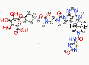 COc1nsc(NC(=O)N2C[C@H]3C[C@H](N(C)c4ncnc5c4ccn5C(=O)N(C)CCN(C)C(=O)OCc4ccc(O[C@@H]5O[C@H](C(=O)O)[C@@H](O)[C@H](O)[C@H]5O)cc4)C[C@H]3C2)n1